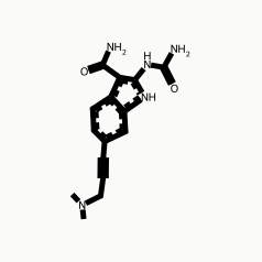 CN(C)CC#Cc1ccc2c(C(N)=O)c(NC(N)=O)[nH]c2c1